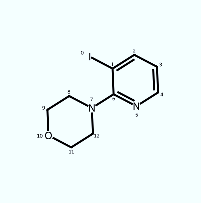 Ic1cccnc1N1CCOCC1